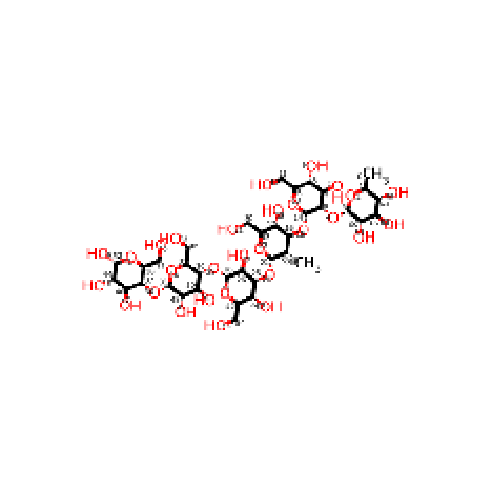 CC1O[C@@H](O[C@H]2C(O)[C@@H](O)C(CO)O[C@H]2OC2[C@@H](O)C(CO)O[C@@H](O[C@@H]3C(O)[C@@H](O[C@H]4C(CO)O[C@@H](O[C@@H]5C(CO)O[C@@H](O)[C@@H](O)C5O)[C@@H](O)C4O)OC(CO)[C@@H]3O)[C@H]2C)[C@@H](O)C(O)[C@@H]1O